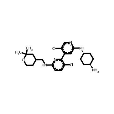 CC1(C)CC(CNc2ccc(Cl)c(-c3cc(N[C@H]4CC[C@H](N)CC4)ncc3Cl)n2)CCO1